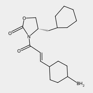 BC1CCC(/C=C/C(=O)N2C(=O)OC[C@@H]2CC2CCCCC2)CC1